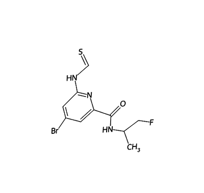 CC(CF)NC(=O)c1cc(Br)cc(NC=S)n1